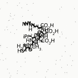 CC(C)C[C@H](NC(=O)[C@H](C)NC(=O)[C@@H](N)CS)C(=O)N[C@@H](CC(=O)O)C(=O)N[C@@H](CC(=O)O)C(=O)N[C@@H](CCCCNN=[N+]=[N-])C(=O)O